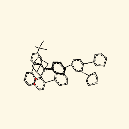 CC(C)(C)c1ccc(-c2ccccc2)c(N(c2ccc(-c3ccc(-c4ccccc4)c(-c4ccccc4)c3)cc2)c2ccccc2-c2cccc3cccc(C45CC6CC7CC(C4)C765)c23)c1